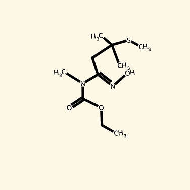 CCOC(=O)N(C)C(CC(C)(C)SC)=NO